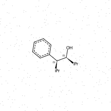 CC(C)[C@@H](c1ccccc1)[C@@H](O)C(C)C